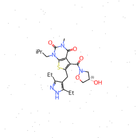 CCc1n[nH]c(CC)c1Cc1sc2c(c1C(=O)N1C[C@H](O)CO1)c(=O)n(C)c(=O)n2CC(C)C